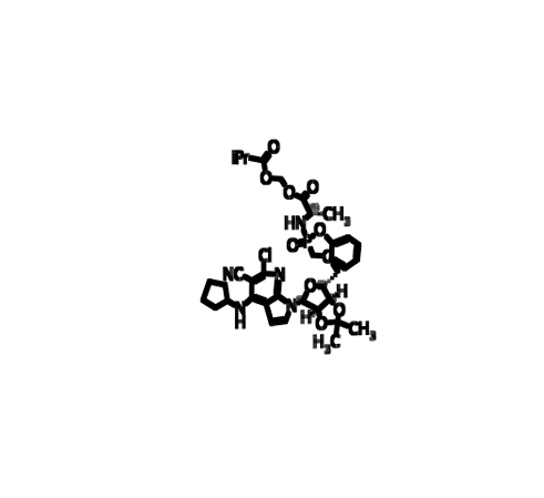 CC(C)C(=O)OCOC(=O)[C@H](C)NP(=O)(COC[C@H]1O[C@@H](n2ccc3c(NC4CCCC4)c(C#N)c(Cl)nc32)[C@@H]2OC(C)(C)O[C@@H]21)Oc1ccccc1